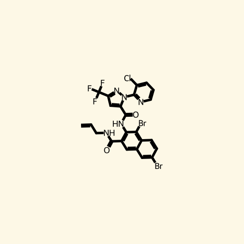 C=CCNC(=O)c1cc2cc(Br)ccc2c(Br)c1NC(=O)c1cc(C(F)(F)F)nn1-c1ncccc1Cl